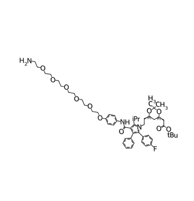 CC(C)c1c(C(=O)Nc2ccc(OCCOCCOCCOCCOCCOCCN)cc2)c(-c2ccccc2)c(-c2ccc(F)cc2)n1CC[C@@H]1C[C@H](CC(=O)OC(C)(C)C)OC(C)(C)O1